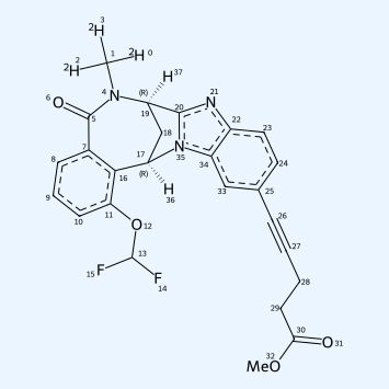 [2H]C([2H])([2H])N1C(=O)c2cccc(OC(F)F)c2[C@H]2C[C@@H]1c1nc3ccc(C#CCCC(=O)OC)cc3n12